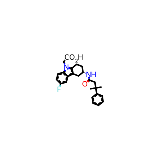 CC(C)(CC(=O)N[C@H]1CCc2c(c3cc(F)ccc3n2CC(=O)O)C1)c1ccccc1